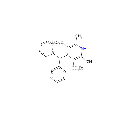 CCOC(=O)C1=C(C)NC(C)=C(C(=O)OCC)C1C(c1ccccc1)c1ccccc1